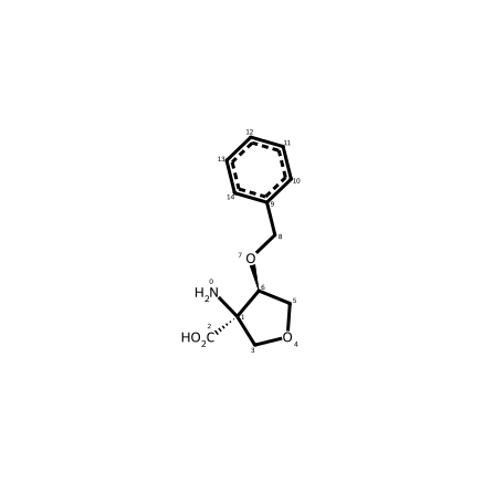 N[C@]1(C(=O)O)COC[C@@H]1OCc1ccccc1